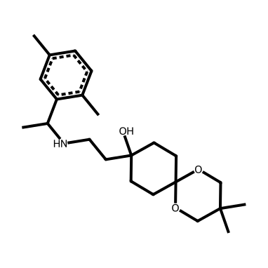 Cc1ccc(C)c(C(C)NCCC2(O)CCC3(CC2)OCC(C)(C)CO3)c1